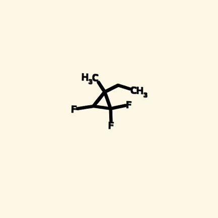 CCC1(C)C(F)C1(F)F